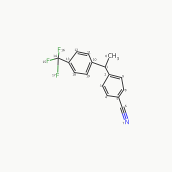 CC(c1ccc(C#N)cc1)c1ccc(C(F)(F)F)cc1